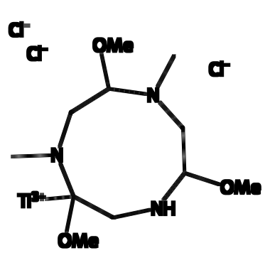 COC1CN(C)C(OC)CN(C)[C]([Ti+3])(OC)CN1.[Cl-].[Cl-].[Cl-]